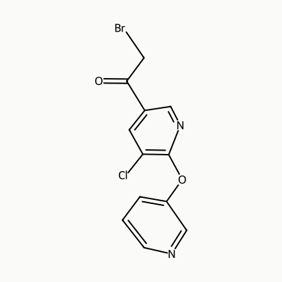 O=C(CBr)c1cnc(Oc2cccnc2)c(Cl)c1